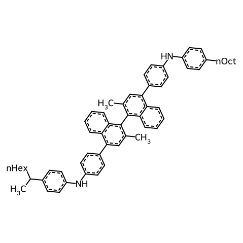 CCCCCCCCc1ccc(Nc2ccc(-c3cc(C)c(-c4c(C)cc(-c5ccc(Nc6ccc(C(C)CCCCCC)cc6)cc5)c5ccccc45)c4ccccc34)cc2)cc1